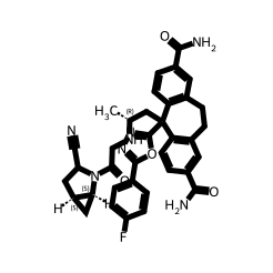 C[C@H](CC1(c2nnc(-c3ccc(F)cc3)o2)c2ccc(C(N)=O)cc2CCc2cc(C(N)=O)ccc21)NCC(=O)N1C(C#N)C[C@@H]2C[C@@H]21